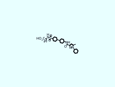 Cc1cc(C(=O)Nc2ccc(-c3ccc(S(=O)(=O)NC(C(=O)O)C(C)C)cc3)cc2)nn1-c1ccccc1